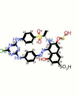 C=CS(=O)(=O)c1ccc(Nc2nc(Cl)nc(Nc3ccc(N=Nc4c(N)c(OSO)cc5cc(S(=O)(=O)O)cc(O)c45)cc3)n2)cc1